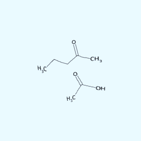 CC(=O)O.CCCC(C)=O